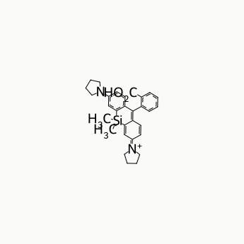 C[Si]1(C)C2=CC(=[N+]3CCCC3)C=CC2=C(c2ccccc2C(=O)O)c2ccc(N3CCCC3)cc21